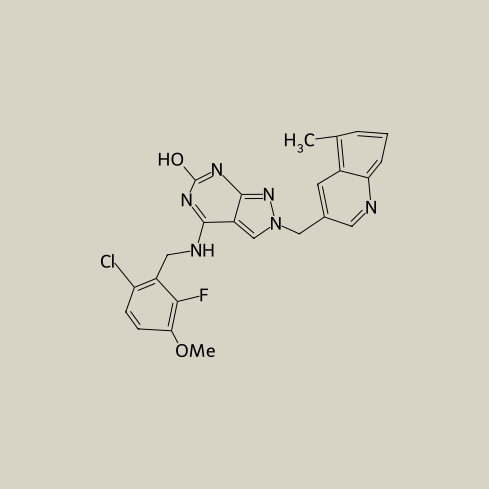 COc1ccc(Cl)c(CNc2nc(O)nc3nn(Cc4cnc5cccc(C)c5c4)cc23)c1F